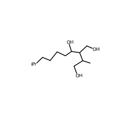 CC(C)CCCCC(O)C(CO)C(C)CO